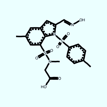 Cc1ccc(S(=O)(=O)n2c(C=NO)cc3cc(C)cc(S(=O)(=O)N(C)CC(=O)O)c32)cc1